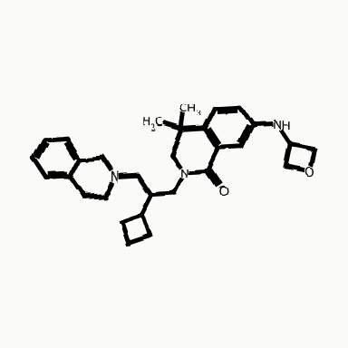 CC1(C)CN(CC(CN2CCc3ccccc3C2)C2CCC2)C(=O)c2cc(NC3COC3)ccc21